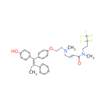 CC/C(=C(\c1ccc(O)cc1)c1ccc(OCCN(C)C/C=C/C(=O)N(C)CCC(F)(F)C(F)(F)F)cc1)c1ccccc1